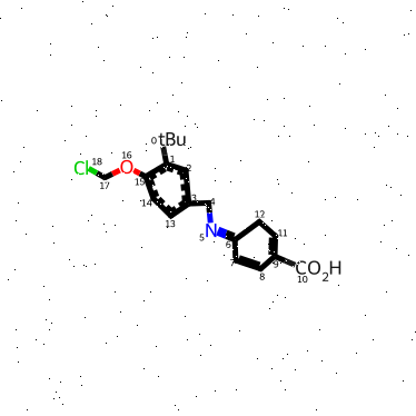 CC(C)(C)c1cc(CN=C2C=CC(C(=O)O)=CC2)ccc1OCCl